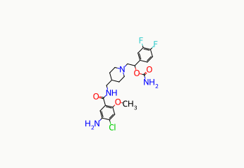 COc1cc(Cl)c(N)cc1C(=O)NCC1CCN(CC(OC(N)=O)c2ccc(F)c(F)c2)CC1